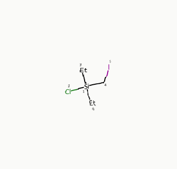 CC[Si](Cl)(CC)CI